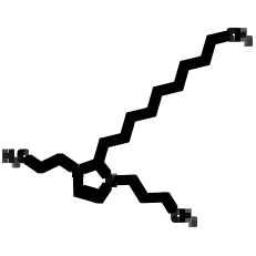 CCCCCCCCCCC1N(CCC)C=CN1CCCC